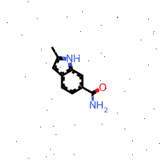 Cc1cc2ccc(C(N)=O)cc2[nH]1